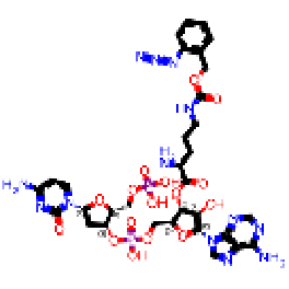 [N-]=[N+]=Nc1ccccc1COC(=O)NCCCC(N)C(=O)O[C@H]1[C@@H](O)[C@H](n2cnc3c(N)ncnc32)O[C@H]1COP(=O)(O)O[C@H]1C[C@H](n2ccc(N)nc2=O)O[C@@H]1COP(=O)(O)O